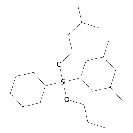 CCCO[Si](OCCC(C)C)(C1CCCCC1)C1CC(C)CC(C)C1